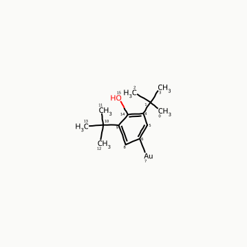 CC(C)(C)c1c[c]([Au])cc(C(C)(C)C)c1O